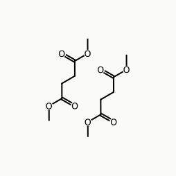 COC(=O)CCC(=O)OC.COC(=O)CCC(=O)OC